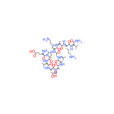 CC(C)C[C@H](NC(=O)[C@H](C)NC(=O)[C@H](CC(=O)O)NC(=O)[C@@H](NC(=O)[C@@H]1CCCN1C(=O)[C@@H](N)CCC(=O)O)C(C)C)C(=O)NCC(=O)N[C@@H](CCCCN)C(=O)N[C@@H](C)C(=O)N[C@@H](CCCCN)C(=O)N[C@H](C(N)=O)C(C)C